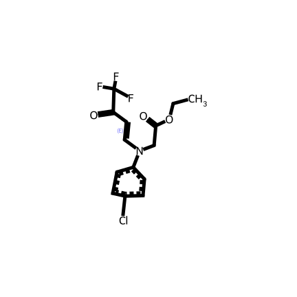 CCOC(=O)CN(/C=C/C(=O)C(F)(F)F)c1ccc(Cl)cc1